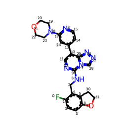 Fc1ccc2c(c1CNc1ncc(-c3ccnc(N4CCOCC4)c3)c3nncn13)CCO2